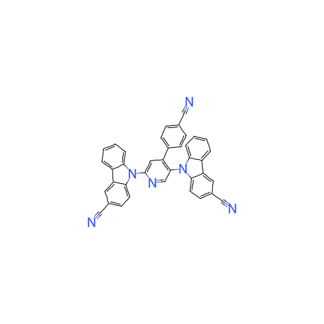 N#Cc1ccc(-c2cc(-n3c4ccccc4c4cc(C#N)ccc43)ncc2-n2c3ccccc3c3cc(C#N)ccc32)cc1